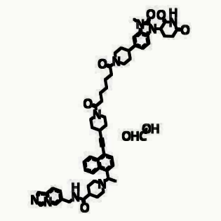 CC(c1ccc(C#CC2CCN(C(=O)CCCCCC(=O)N3CCC(c4ccc5c(c4)n(C)c(=O)n5C4CCC(=O)NC4=O)CC3)CC2)c2ccccc12)N1CCC(C(=O)NCc2ccc3cncn3c2)CC1.O=CO